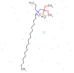 CCCCCCCCCCCCCCCCCC[N+](C)(CCC)C[Si](OC)(OC)OC.[Cl-]